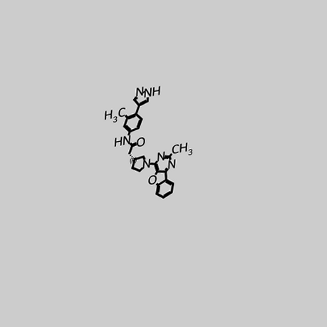 Cc1nc(N2CC[C@H](CC(=O)Nc3ccc(-c4cn[nH]c4)c(C)c3)C2)c2oc3ccccc3c2n1